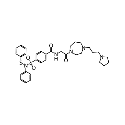 O=C(NCC(=O)N1CCCN(CCCN2CCCC2)CC1)c1ccc(S(=O)(=O)N(Sc2ccccc2)c2ccccc2)cc1